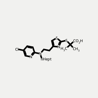 CCCCCCCN(CCc1csc(SC(C)(C)C(=O)O)n1)c1ccc(Cl)cn1